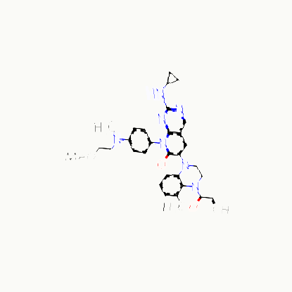 C=CC(=O)N1CCN(c2cc3cnc(NC4CC4)nc3n(-c3ccc(N(C)CCOC)cc3)c2=O)c2cccc(C)c21